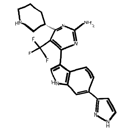 Nc1nc(-c2c[nH]c3cc(-c4cc[nH]n4)ccc23)c(C(F)(F)F)c([C@H]2CCCNC2)n1